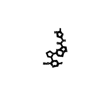 COc1ncc(F)cc1C1CCCN1c1ccn2ncc(C(=O)Nc3c[nH]c(C)n3)c2n1